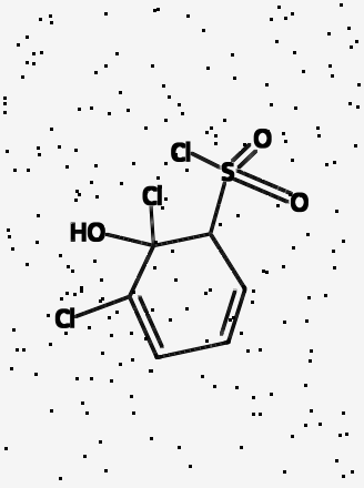 O=S(=O)(Cl)C1C=CC=C(Cl)C1(O)Cl